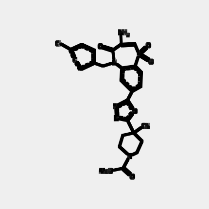 COC(=O)N1CCC(C#N)(c2nnc(-c3ccc4c(c3)N(Cc3ccc(Cl)cc3)C(=O)C(N)=CS4(=O)=O)o2)CC1